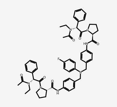 CCN(C(C)=O)[C@@H](C(=O)N1CCC[C@H]1C(=O)Nc1ccc(CN(Cc2ccc(NC(=O)[C@@H]3CCCN3C(=O)[C@@H](c3ccccc3)N(CC)C(C)=O)cc2)c2ccc(F)cc2)cc1)c1ccccc1